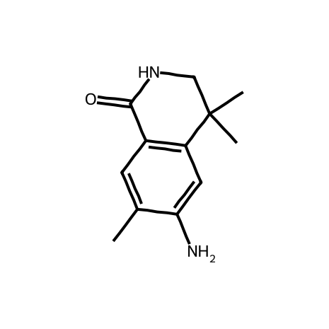 Cc1cc2c(cc1N)C(C)(C)CNC2=O